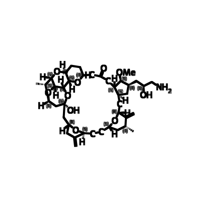 C=C1C[C@@H]2C[C@@]3(O)C[C@H]4O[C@H]5[C@@H](O3)[C@H]3O[C@H](CC[C@@H]3O[C@H]5[C@H]4C)CC(=O)C[C@H]3[C@@H](C[C@H](C[C@H](O)CN)[C@@H]3OC)C[C@H]3O[C@@H](CC[C@@H]1O2)C[C@@H](C)C3=C